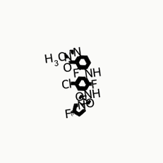 Cn1cnc2ccc(Nc3cc(Cl)cc(NS(=O)(=O)N4CC[C@@H](F)C4)c3F)c(F)c2c1=O